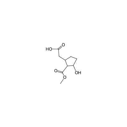 COC(=O)C1C(O)CCC1CC(=O)O